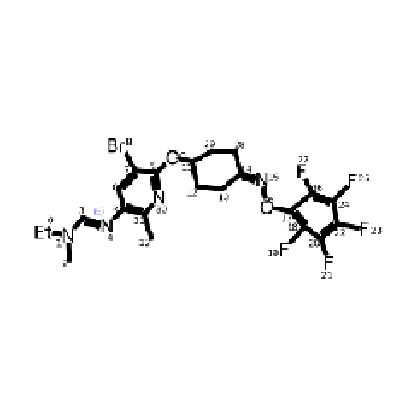 CCN(C)/C=N/c1cc(Br)c(OC2CCC(=NOc3c(F)c(F)c(F)c(F)c3F)CC2)nc1C